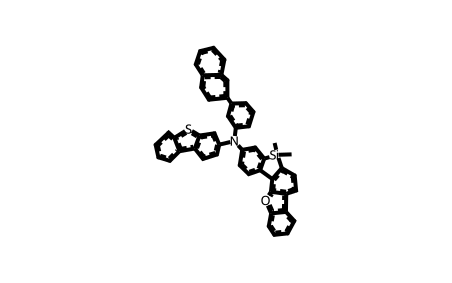 C[Si]1(C)c2cc(N(c3cccc(-c4ccc5ccccc5c4)c3)c3ccc4c(c3)sc3ccccc34)ccc2-c2c1ccc1c2oc2ccccc21